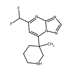 CC1(c2cc(C(F)F)nc3ncnn23)CCCNC1